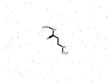 CC(=O)NNC(=O)CCNC(=O)O